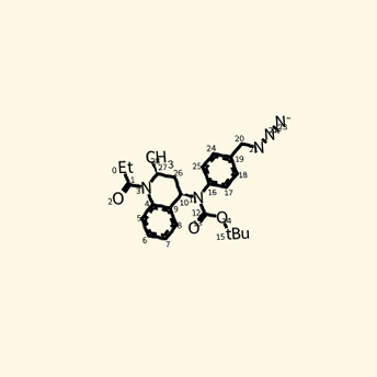 CCC(=O)N1c2ccccc2[C@H](N(C(=O)OC(C)(C)C)c2ccc(CN=[N+]=[N-])cc2)C[C@@H]1C